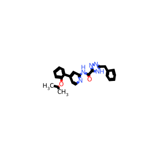 CC(C)Oc1ccccc1-c1ccnc(NC(=O)c2nnc(Cc3ccccc3)[nH]2)c1